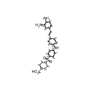 Nc1ccc(C=Cc2cnc(Nc3ccc(S(=O)(=O)C4CCN(C(=O)O)CC4)cc3)nc2)cc1N